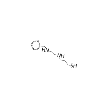 SCCCNCCNCc1ccccc1